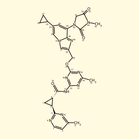 Cc1ccnc([C@H]2C[C@@H]2C(=O)Nc2nc(C)nc(OCc3cn4cc(C5CC5)cc(N5CC(=O)N(C)C5=O)c4n3)n2)n1